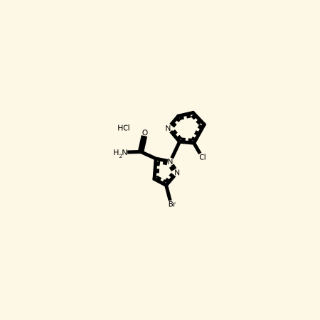 Cl.NC(=O)c1cc(Br)nn1-c1ncccc1Cl